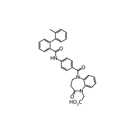 Cc1ccccc1-c1ccccc1C(=O)Nc1ccc(C(=O)N2CCC(=O)N(CC(=O)O)c3ccccc32)cc1